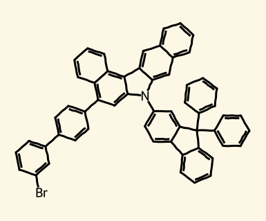 Brc1cccc(-c2ccc(-c3cc4c(c5ccccc35)c3cc5ccccc5cc3n4-c3ccc4c(c3)C(c3ccccc3)(c3ccccc3)c3ccccc3-4)cc2)c1